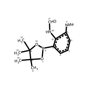 CNc1cccc(B2OC(C)(C)C(C)(C)O2)c1NC=O